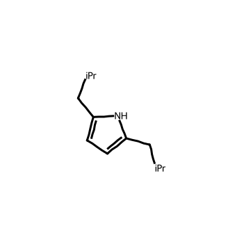 CC(C)Cc1ccc(CC(C)C)[nH]1